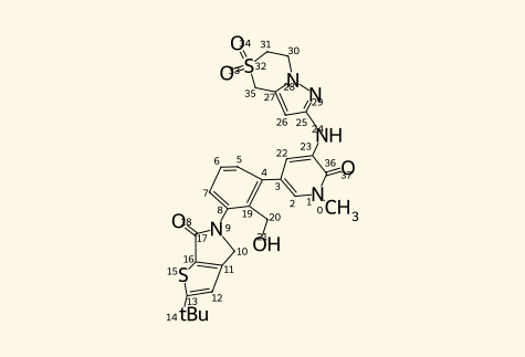 Cn1cc(-c2cccc(N3Cc4cc(C(C)(C)C)sc4C3=O)c2CO)cc(Nc2cc3n(n2)CCS(=O)(=O)C3)c1=O